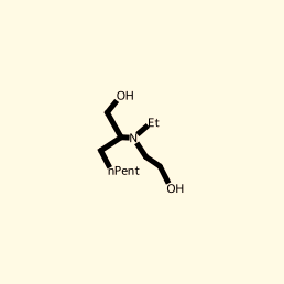 CCCCCCC(CO)N(CC)CCO